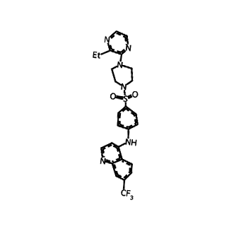 CCc1nccnc1N1CCN(S(=O)(=O)c2ccc(Nc3ccnc4cc(C(F)(F)F)ccc34)cc2)CC1